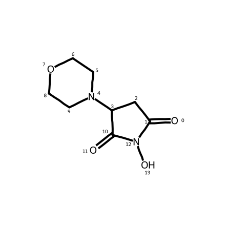 O=C1CC(N2CCOCC2)C(=O)N1O